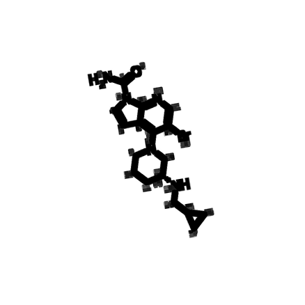 NC(=O)n1c[c]c2c(N3CCC[C@@H](NCC4CC4)C3)c(Br)cnc21